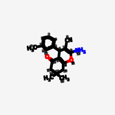 Cc1cccc(C2C(C#N)=C(N)OC3=C2C(=O)CC(C)(C)C3)c1